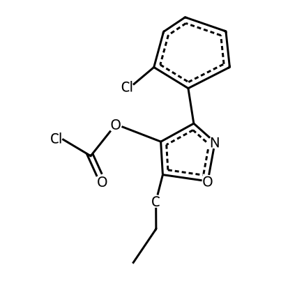 CCCc1onc(-c2ccccc2Cl)c1OC(=O)Cl